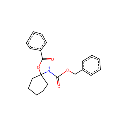 O=C(NC1(OC(=O)c2ccccc2)CCCCC1)OCc1ccccc1